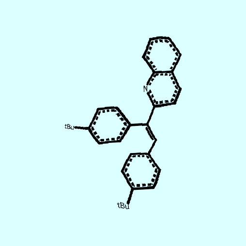 CC(C)(C)c1ccc(/C=C(\c2ccc(C(C)(C)C)cc2)c2ccc3ccccc3n2)cc1